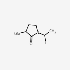 CC(I)N1CCC(C(C)(C)C)C1=O